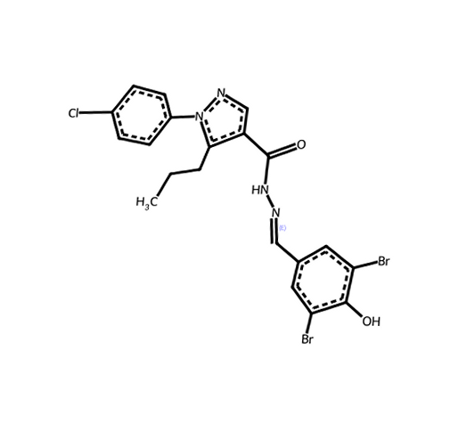 CCCc1c(C(=O)N/N=C/c2cc(Br)c(O)c(Br)c2)cnn1-c1ccc(Cl)cc1